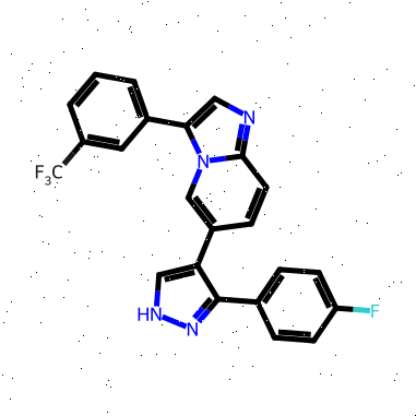 Fc1ccc(-c2n[nH]cc2-c2ccc3ncc(-c4cccc(C(F)(F)F)c4)n3c2)cc1